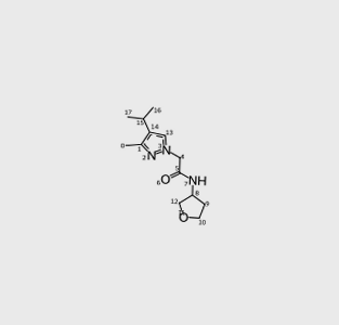 Cc1nn(CC(=O)NC2CCOC2)cc1C(C)C